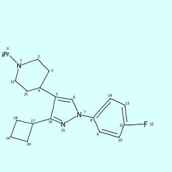 CC(C)N1CCC(c2cn(-c3ccc(F)cc3)nc2C2CCC2)CC1